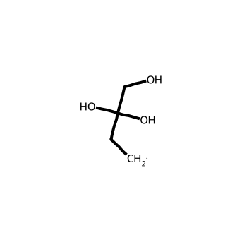 [CH2]CC(O)(O)CO